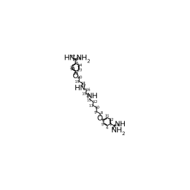 N=C(N)c1ccc(OCCCCCCNCCNCCCOc2ccc(C(=N)N)cc2)cc1